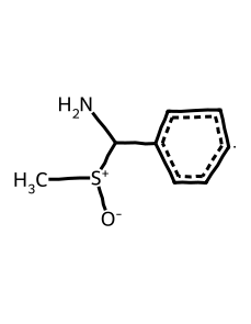 C[S+]([O-])C(N)c1cc[c]cc1